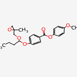 CCCC(OCC1(C)CO1)Oc1ccc(C(=O)Oc2ccc(OC)cc2)cc1